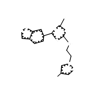 Cc1cnn(CCNc2nc(N)nc(-c3ccc4cn[nH]c4c3)n2)c1